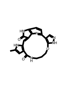 Cc1cc2c([nH]1)/C=C1\C(=O)Nc3ccc(nc31)-c1cn[nH]c1OCCCNC2=O